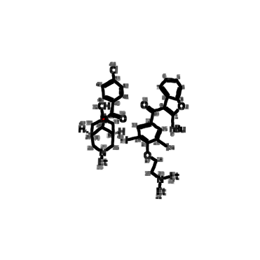 CCCCc1oc2ccccc2c1C(=O)c1cc(I)c(OCCN(CC)CC)c(I)c1.CCN1C[C@H]2CN(C)C[C@@H](C1)C2OC(=O)c1ccc(Cl)cc1